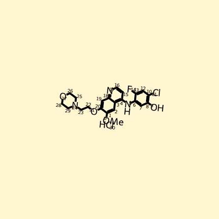 COc1cc2c(Nc3cc(O)c(Cl)cc3F)ccnc2cc1OCCN1CCOCC1.Cl